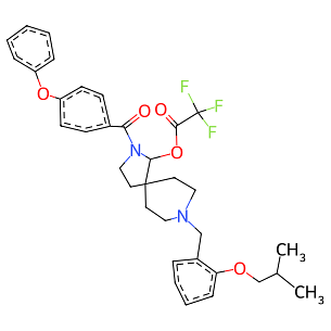 CC(C)COc1ccccc1CN1CCC2(CC1)CCN(C(=O)c1ccc(Oc3ccccc3)cc1)C2OC(=O)C(F)(F)F